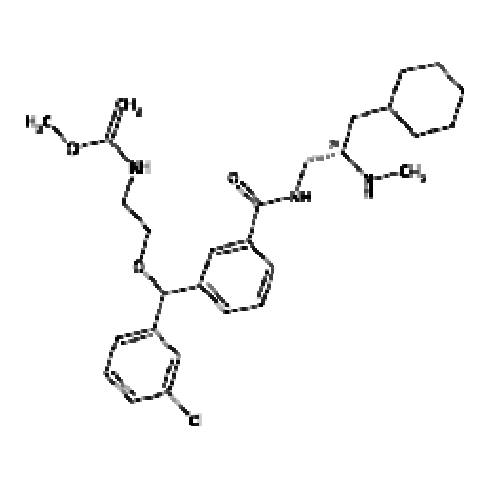 C=C(NCCOC(c1cccc(Cl)c1)c1cccc(C(=O)NC[C@H](CC2CCCCC2)NC)c1)OC